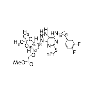 CCCSc1nc(N[C@@H]2C[C@H]2c2ccc(F)c(F)c2)c2c(n1)N([C@@H]1C[C@H](OCC(=O)OC)[C@H]3OC(C)(C)O[C@H]31)NN2